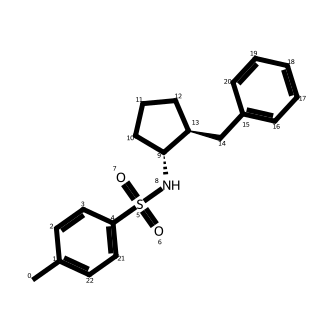 Cc1ccc(S(=O)(=O)N[C@@H]2CCC[C@H]2Cc2ccccc2)cc1